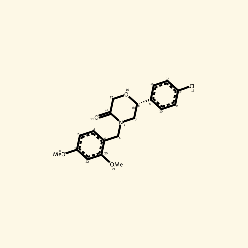 COc1ccc(CN2C[C@@H](c3ccc(Cl)cc3)OCC2=O)c(OC)c1